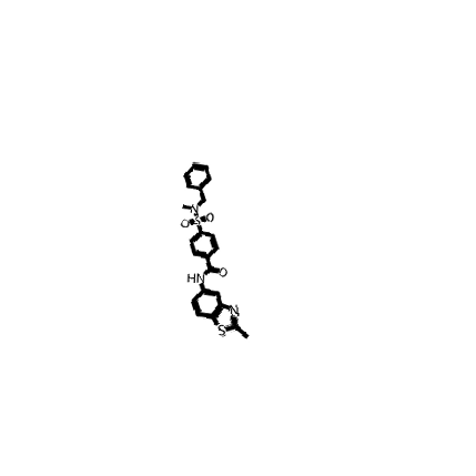 Cc1nc2cc(NC(=O)c3ccc(S(=O)(=O)N(C)Cc4ccccc4)cc3)ccc2s1